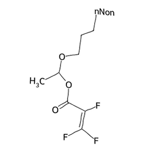 CCCCCCCCCCCCOC(C)OC(=O)C(F)=C(F)F